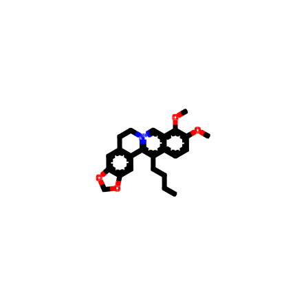 CCCCc1c2[n+](cc3c(OC)c(OC)ccc13)CCc1cc3c(cc1-2)OCO3